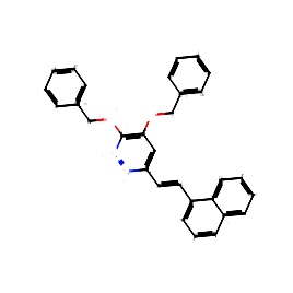 C(=C\c1cccc2ccccc12)/c1cc(OCc2ccccc2)c(OCc2ccccc2)nn1